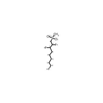 C[Si](Cl)(Cl)CC(F)C(F)CCCCCF